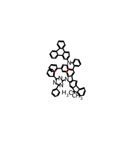 CC1(C)c2ccccc2-c2cc3c4cc(-c5ccccc5N(c5cccc(-c6ccccc6)c5)c5ccc6c7ccccc7c7ccccc7c6c5)ccc4n(-c4nc(-c5ccccc5)nc(-c5ccccc5)n4)c3cc21